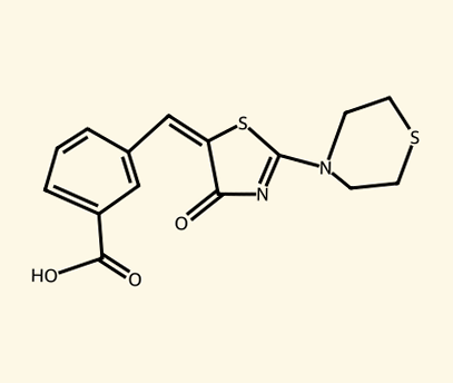 O=C1N=C(N2CCSCC2)S/C1=C/c1cccc(C(=O)O)c1